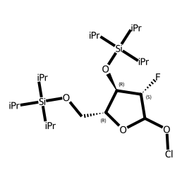 CC(C)[Si](OC[C@H]1OC(OCl)[C@@H](F)[C@@H]1O[Si](C(C)C)(C(C)C)C(C)C)(C(C)C)C(C)C